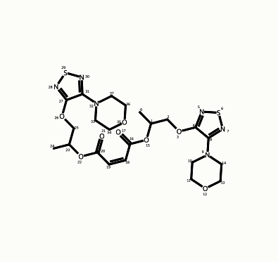 CC(COc1nsnc1N1CCOCC1)OC(=O)/C=C\C(=O)OC(C)COc1nsnc1N1CCOCC1